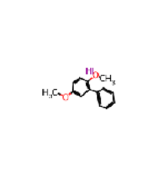 COc1ccc(OC)c(-c2ccccc2)c1.I